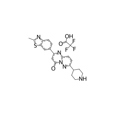 Cc1nc2ccc(-c3cc(=O)n4nc(C5CCNCC5)ccc4n3)cc2s1.O=C(O)C(F)(F)F